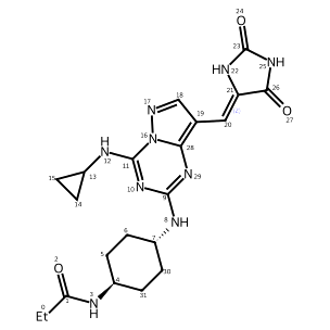 CCC(=O)N[C@H]1CC[C@H](Nc2nc(NC3CC3)n3ncc(/C=C4\NC(=O)NC4=O)c3n2)CC1